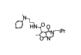 Cc1oc2ncn(CC(C)C)c(=O)c2c1C(=O)NCCCN(C)c1ccccc1